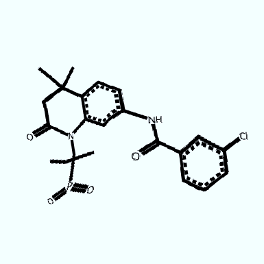 CC1(C)CC(=O)N(C(C)(C)P(=O)=O)c2cc(NC(=O)c3cccc(Cl)c3)ccc21